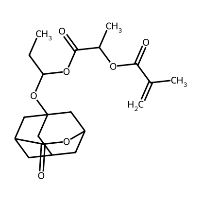 C=C(C)C(=O)OC(C)C(=O)OC(CC)OC12CC3CC(C1)OC(=O)C(C3)C2